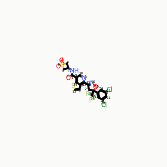 O=C(NC1CS(=O)(=O)C1)c1cnc(C2=NOC(c3cc(Cl)cc(Cl)c3)(C(F)(F)F)C2)c2ccsc12